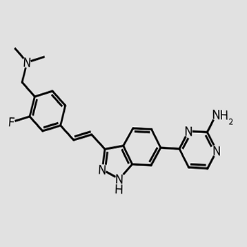 CN(C)Cc1ccc(C=Cc2n[nH]c3cc(-c4ccnc(N)n4)ccc23)cc1F